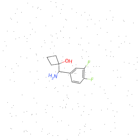 NC(c1ccc(F)c(F)c1)C1(O)CCC1